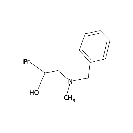 CC(C)C(O)CN(C)Cc1ccccc1